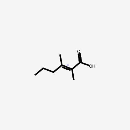 CCC/C(C)=C(\C)C(=O)O